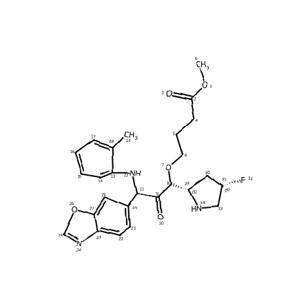 COC(=O)CCCOC(C(=O)C(Nc1ccccc1C)c1ccc2ncoc2c1)[C@@H]1C[C@H](F)CN1